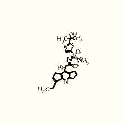 CCC1CCc2c1nc1c(c2NC(=O)N=[S@](N)(=O)c2cnc(C(C)(C)O)s2)CCC1